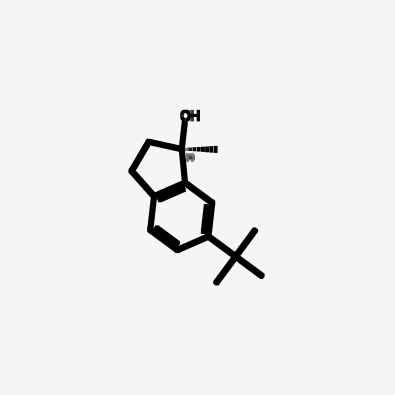 CC(C)(C)c1ccc2c(c1)[C@](C)(O)CC2